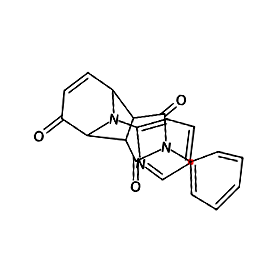 O=C1C=CC2C3C(=O)N(c4ccccc4)C(=O)C3C1N2c1ccccn1